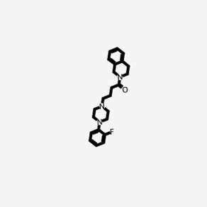 O=C(CCCN1CCN(c2ccccc2F)CC1)N1CCc2ccccc2C1